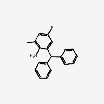 Cc1cc(F)cc(C(c2ccccc2)c2ccccc2)c1N